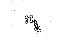 CCS(=O)(=O)N1CCN(C(=O)c2ccc3c(c2)C(=O)c2ccccc2C3=O)CC1